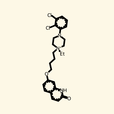 CC[N+]1(CCCCOc2ccc3ccc(=O)[nH]c3c2)CCN(c2cccc(Cl)c2Cl)CC1